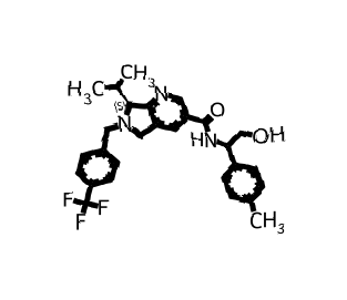 Cc1ccc(C(CO)NC(=O)c2cnc3c(c2)CN(Cc2ccc(C(F)(F)F)cc2)[C@H]3C(C)C)cc1